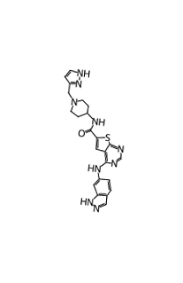 O=C(NC1CCN(Cc2cc[nH]n2)CC1)c1cc2c(Nc3ccc4cn[nH]c4c3)ncnc2s1